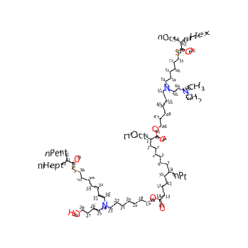 CCCCCCCCC(CCCCCCC(CCC)CCCCC(=O)OCCCCCCCN(CCCCO)CCCCCCCSC(=O)C(CCCCC)CCCCCCC)C(=O)OCCCCCCN(CCCCCCSC(=O)C(CCCCCC)CCCCCCCC)CCN(C)C